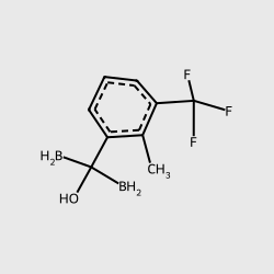 BC(B)(O)c1cccc(C(F)(F)F)c1C